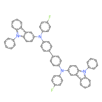 Fc1ccc(N(c2ccc(-c3ccc(N(c4ccc(F)cc4)c4ccc5c(c4)c4ccccc4n5-c4ccccc4)cc3)cc2)c2ccc3c(c2)c2ccccc2n3-c2ccccc2)cc1